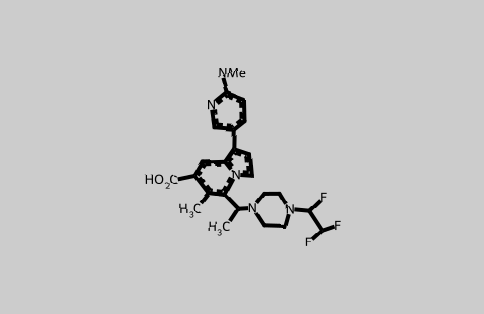 CNc1ccc(-c2ccn3c(C(C)N4CCN(C(F)C(F)F)CC4)c(C)c(C(=O)O)cc23)cn1